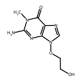 Cn1c(N)nc2c(ncn2OCCO)c1=O